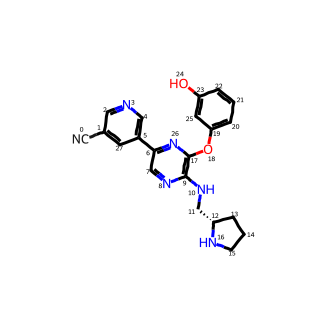 N#Cc1cncc(-c2cnc(NC[C@@H]3CCCN3)c(Oc3cccc(O)c3)n2)c1